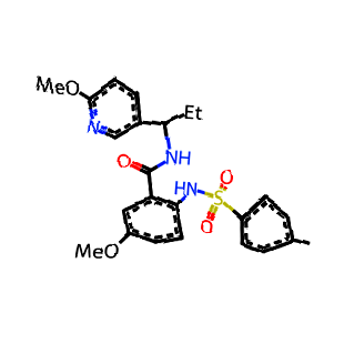 CCC(NC(=O)c1cc(OC)ccc1NS(=O)(=O)c1ccc(C)cc1)c1ccc(OC)nc1